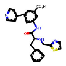 O=C(O)c1cc(NC(=O)C(Cc2ccccc2)NCc2nccs2)cc(-c2ccncc2)c1